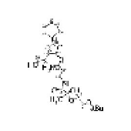 CC(C)(C)OCCOC(C)(C)C(=O)NCCC(N)O[C@@H]1C[C@H](C2CCCCC2)OC1CCO